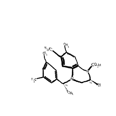 CCOC(=O)N1c2cc(C)c(C)cc2N([C@H](C#N)c2cc(C(F)(F)F)cc(C(F)(F)F)c2)C[C@@H]1CC